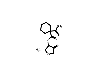 C[C@H]1OCC(=O)[C@H]1NC(=O)C1(C(N)=O)CCCCC1